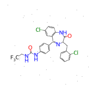 O=C(NCC(F)(F)F)Nc1ccc(C2=NC(Cc3ccccc3Cl)C(=O)Nc3ccc(Cl)cc32)cc1